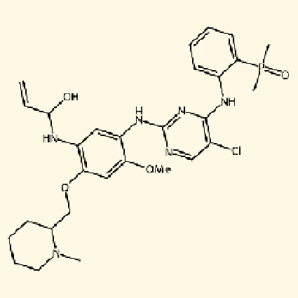 C=CC(O)Nc1cc(Nc2ncc(Cl)c(Nc3ccccc3P(C)(C)=O)n2)c(OC)cc1OCC1CCCCN1C